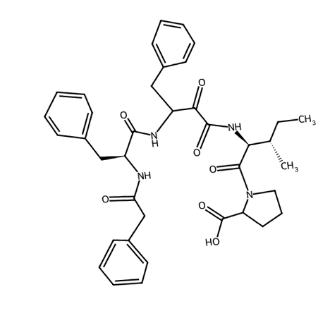 CC[C@H](C)[C@H](NC(=O)C(=O)C(Cc1ccccc1)NC(=O)[C@H](Cc1ccccc1)NC(=O)Cc1ccccc1)C(=O)N1CCCC1C(=O)O